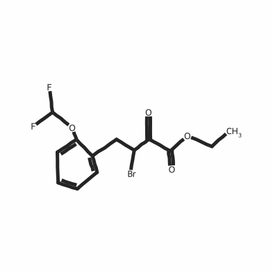 CCOC(=O)C(=O)C(Br)Cc1ccccc1OC(F)F